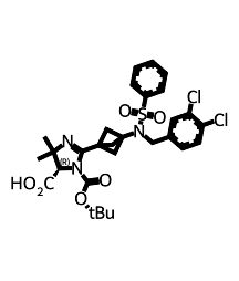 CC(C)(C)OC(=O)N1C(C23CC(N(Cc4ccc(Cl)c(Cl)c4)S(=O)(=O)c4ccccc4)(C2)C3)=NC(C)(C)[C@@H]1C(=O)O